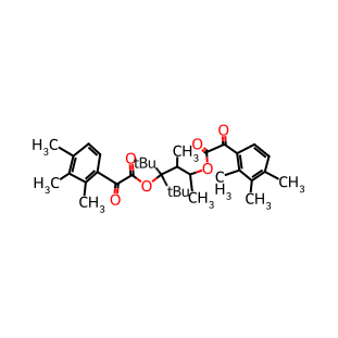 Cc1ccc(C(=O)C(=O)OC(C)C(C)C(OC(=O)C(=O)c2ccc(C)c(C)c2C)(C(C)(C)C)C(C)(C)C)c(C)c1C